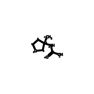 C[C@]1(NC(=O)O)CCOC1